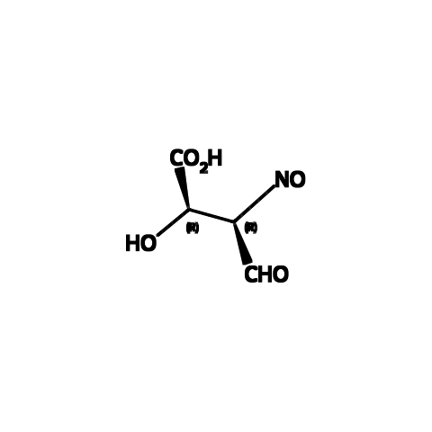 O=C[C@H](N=O)[C@@H](O)C(=O)O